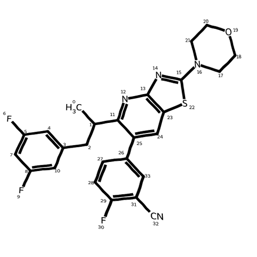 CC(Cc1cc(F)cc(F)c1)c1nc2nc(N3CCOCC3)sc2cc1-c1ccc(F)c(C#N)c1